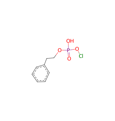 O=P(O)(OCl)OCCc1ccccc1